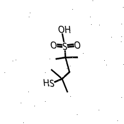 CC(C)(S)CC(C)(C)S(=O)(=O)O